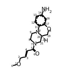 COC/C=C/C(=O)N1CCN2c3ccc(N)cc3OC[C@H]2C1